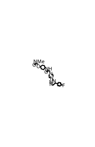 CNC(=O)COC1CCC(NC(=O)CN2CCN(c3nncc(-c4ccc(F)cc4)n3)CC2)CC1